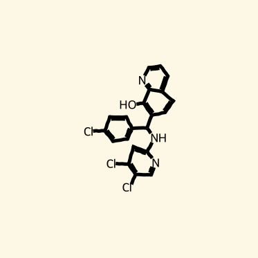 Oc1c(C(Nc2cc(Cl)c(Cl)cn2)c2ccc(Cl)cc2)ccc2cccnc12